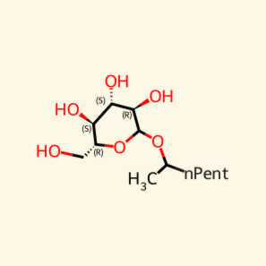 CCCCCC(C)OC1O[C@H](CO)[C@@H](O)[C@H](O)[C@H]1O